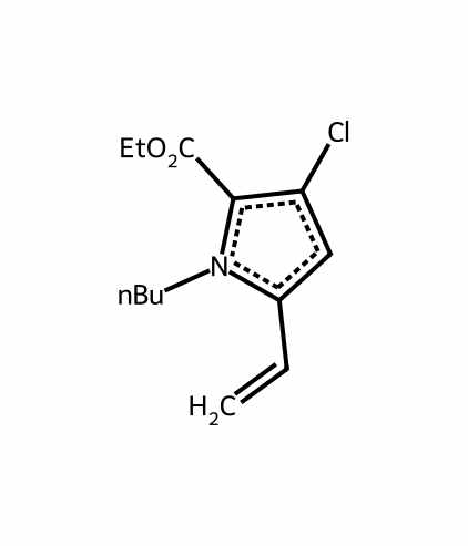 C=Cc1cc(Cl)c(C(=O)OCC)n1CCCC